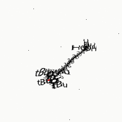 Cc1cc(C(C)(C)C)cc(C(C)(C)C)c1C(CCCCCCCCCCCCCCCCC[PH](O)(O)O)c1c(C)cc(C(C)(C)C)cc1C(C)(C)C